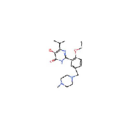 CCOc1ccc(CN2CCN(C)CC2)cc1-c1nc(C(C)C)c(O)c(=O)[nH]1